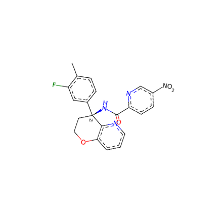 Cc1ccc([C@@]2(NC(=O)c3ccc([N+](=O)[O-])cn3)CCOc3cccnc32)cc1F